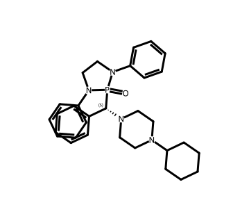 O=P1([C@@H](c2ccccc2)N2CCN(C3CCCCC3)CC2)N(c2ccccc2)CCN1c1ccccc1